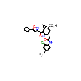 Cc1ccc(NC(=O)C[C@@H](CCC(=O)O)c2noc(-c3cc(C4CCCC4)on3)c2C2CC2)c(Cl)c1